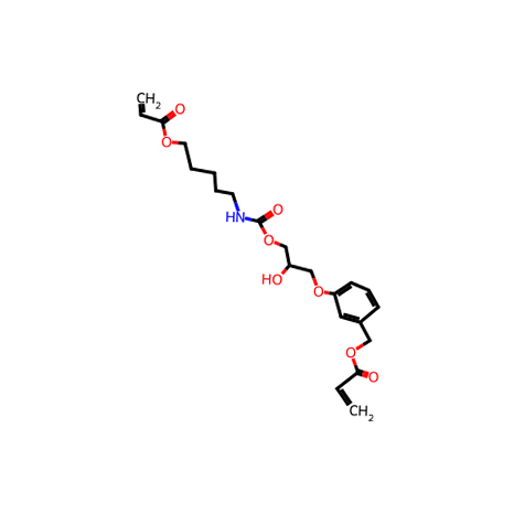 C=CC(=O)OCCCCCNC(=O)OCC(O)COc1cccc(COC(=O)C=C)c1